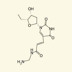 CC[C@H]1O[C@@H](n2cc(/C=C/C(=O)NCN)c(=O)[nH]c2=O)C[C@H]1O